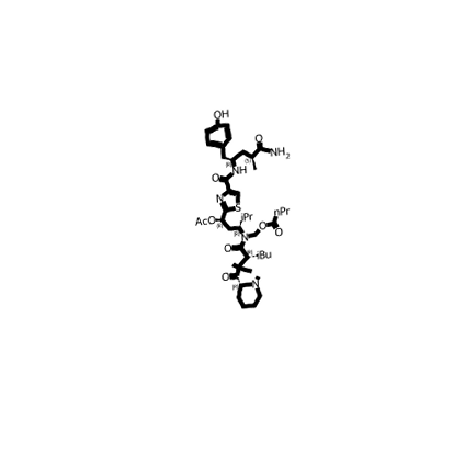 CCCC(=O)OCN(C(=O)[C@H](C(C)CC)C(C)(C)C(=O)[C@H]1CCCCN1C)[C@H](C[C@@H](OC(C)=O)c1nc(C(=O)N[C@@H](Cc2ccc(O)cc2)C[C@H](C)C(N)=O)cs1)C(C)C